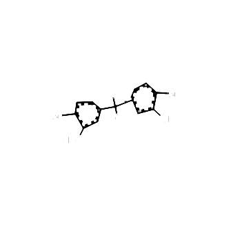 Cc1cc(C(C)(C)c2ccc(Br)c(C)c2)ccc1Br